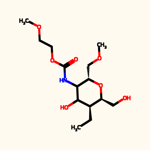 CC[C@H]1C(O)C(NC(=O)OCCOC)[C@H](COC)O[C@H]1CO